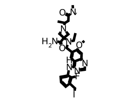 CCN(Cc1cc2c(Nc3cccc(CI)c3F)ncnc2cc1OC)C1(C(N)=O)CN(C(C)CC(=O)N(C)C)C1